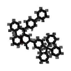 CC1C=CC(N(c2ccc(-c3ccccc3)cc2)c2ccccc2-c2ccccc2)=CC1c1ccc2c(c1)-c1ccccc1C2(c1ccccc1)c1ccccc1